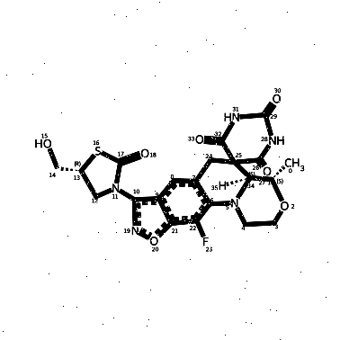 C[C@@H]1OCCN2c3c(cc4c(N5C[C@H](CO)SC5=O)noc4c3F)CC3(C(=O)NC(=O)NC3=O)[C@@H]12